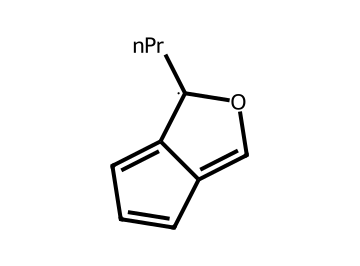 CCC[C]1OC=C2C=CC=C12